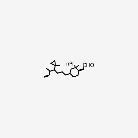 C=CC(C)C(CCCC1CC/C(=C/C=O)C(C)(CCC)C1)C1(C)CC1